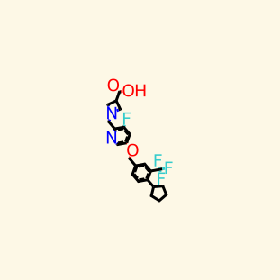 O=C(O)C1CN(Cc2ncc(OCc3ccc(C4CCCC4)c(C(F)(F)F)c3)cc2F)C1